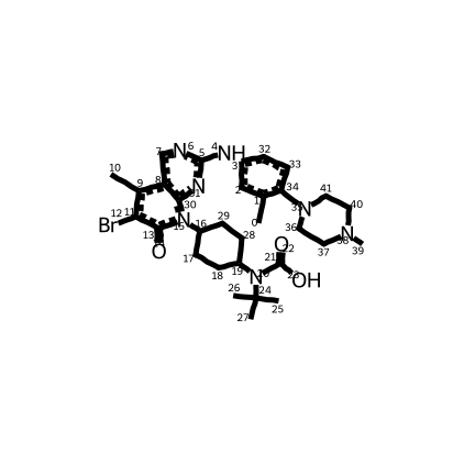 Cc1cc(Nc2ncc3c(C)c(Br)c(=O)n(C4CCC(N(C(=O)O)C(C)(C)C)CC4)c3n2)ccc1N1CCN(C)CC1